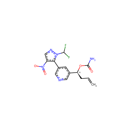 C=CC[C@H](OC(N)=O)c1cncc(-c2c([N+](=O)[O-])cnn2C(F)F)c1